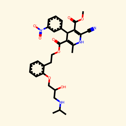 COC(=O)C1=C(C#N)NC(C)=C(C(=O)OCCc2ccccc2OCC(O)CNC(C)C)C1c1cccc([N+](=O)[O-])c1